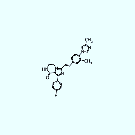 Cc1cn(-c2ccc(/C=C/c3nc(-c4ccc(F)cc4)c4n3CCNC4=O)cc2C)cn1